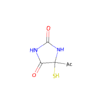 CC(=O)C1(S)NC(=O)NC1=O